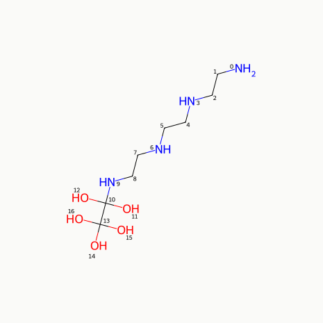 NCCNCCNCCNC(O)(O)C(O)(O)O